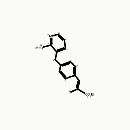 CCOC(=O)/C(C)=C/c1ccc(Cc2cccnc2OC)cc1